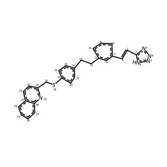 C(=C\c1nnn[nH]1)/c1cccc(CCc2ccc(SCc3ccc4ccccc4n3)cc2)c1